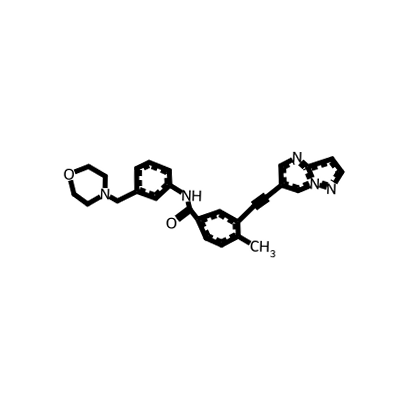 Cc1ccc(C(=O)Nc2cccc(CN3CCOCC3)c2)cc1C#Cc1cnc2ccnn2c1